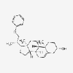 C[C@H](COc1ccccc1)[C@H]1CC[C@H]2[C@@H]3CC=C4C[C@@H](O)CC[C@]4(C)[C@H]3CC[C@]12C